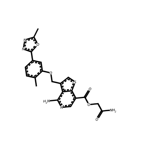 Cc1nnc(-c2ccc(C)c(OCc3csc4c(C(=O)OCC(N)=O)cnc(N)c34)c2)o1